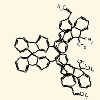 C=Cc1ccc(-c2ccc(N(c3ccc4c(c3)C(C)(C)c3ccccc3-4)c3ccc4c(c3)C3(c5ccccc5-4)c4ccccc4-c4ccc(N(c5ccc(-c6ccc(C=C)cc6)cc5)c5ccc6c(c5)C(C)(C)c5ccccc5-6)cc43)cc2)cc1